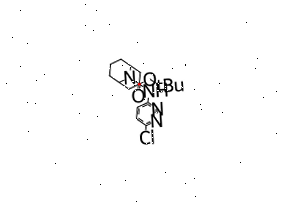 CC(C)(C)OC(=O)N1C2CCCC1CC(Nc1ccc(Cl)nn1)C2